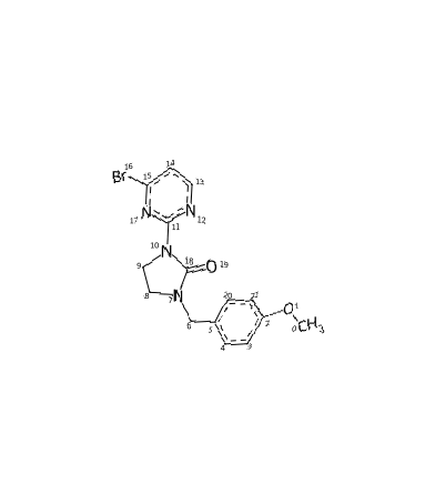 COc1ccc(CN2CCN(c3nccc(Br)n3)C2=O)cc1